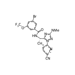 CNc1nc([C@H](C)NC(=O)c2cc(Br)cc(OC(F)(F)F)c2)n(-c2ccc(C#N)cn2)n1